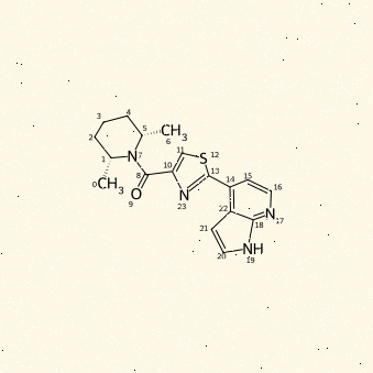 C[C@@H]1CCC[C@H](C)N1C(=O)c1csc(-c2ccnc3[nH]ccc23)n1